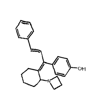 Oc1ccc(C(C=Cc2ccccc2)=C2CCCCC2N2CCC2)cc1